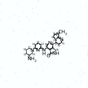 Cn1ccc2c(-c3ncc(Nc4cccc(N5CCC[C@@H](N)C5)n4)c4c3CNC4=O)ccnc21